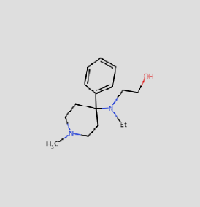 CCN(CCO)C1(c2ccccc2)CCN(C)CC1